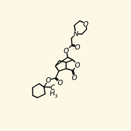 CC1(OC(=O)C2C3CC4C(OC(=O)C42)C3OC(=O)CN2CCOCC2)CCCCC1